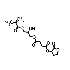 C=C(C)C(=O)OCC(O)COC(=O)CCC(=O)OC1CCOC1=O